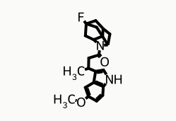 COc1ccc2[nH]cc(C(C)CC(=O)N3C4CC5CC3CC(F)(C5)C4)c2c1